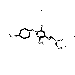 C=C1CCC(Oc2nc(C)c(/N=C/N(C)CC)cc2Br)CC1